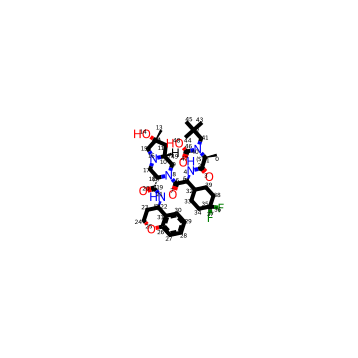 C[C@@H](C(=O)N[C@H](C(=O)N1C[C@H]2C[C@@](C)(O)CN2C[C@H]1C(=O)N[C@@H]1CCOc2ccccc21)C1CCC(F)(F)CC1)N(CC(C)(C)C)C(=O)O